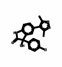 Cc1noc(C)c1-c1ccc2c(c1)C(O)(c1ccc(Cl)cc1)C(=O)N2